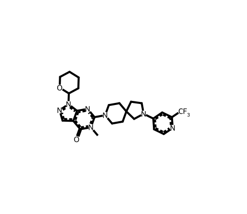 Cn1c(N2CCC3(CCN(c4ccnc(C(F)(F)F)c4)C3)CC2)nc2c(cnn2C2CCCCO2)c1=O